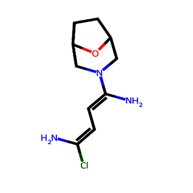 N/C(Cl)=C\C=C(/N)N1CC2CCC(C1)O2